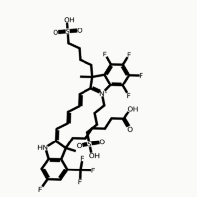 CC1(CCCCS(=O)(=O)O)C(/C=C/C=C/C=C2/Nc3cc(F)cc(C(F)(F)F)c3C2(C)CCCCCC(=O)O)=[N+](CCCCS(=O)(=O)O)c2c(F)c(F)c(F)c(F)c21